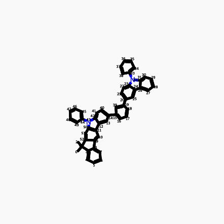 CC1(C)c2ccccc2-c2cc3c4cc(-c5cccc(-c6ccc7c(c6)c6ccccc6n7-c6ccccc6)c5)ccc4n(-c4ccccc4)c3cc21